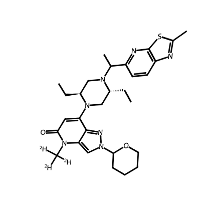 [2H]C([2H])([2H])n1c(=O)cc(N2C[C@@H](CC)N(C(C)c3ccc4nc(C)sc4n3)C[C@@H]2CC)c2nn(C3CCCCO3)cc21